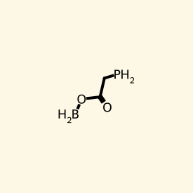 BOC(=O)CP